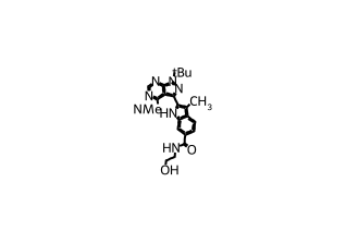 CNc1ncnc2c1c(-c1[nH]c3cc(C(=O)NCCO)ccc3c1C)nn2C(C)(C)C